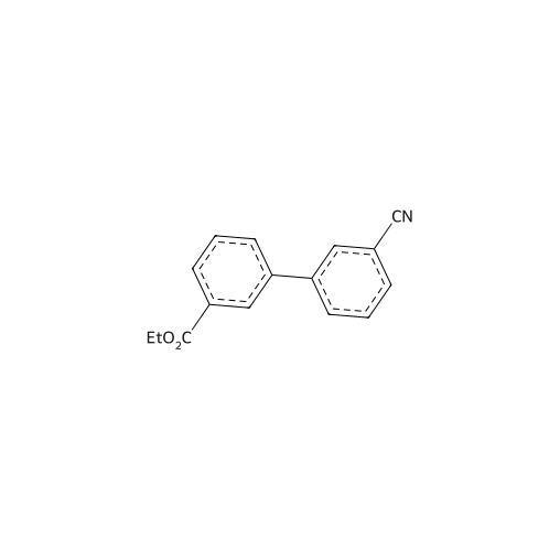 CCOC(=O)c1cccc(-c2cccc(C#N)c2)c1